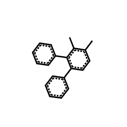 Cc1c[c]c(-c2ccccc2)c(-c2ccccc2)c1C